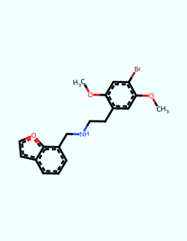 COc1cc(CCNCc2cccc3ccoc23)c(OC)cc1Br